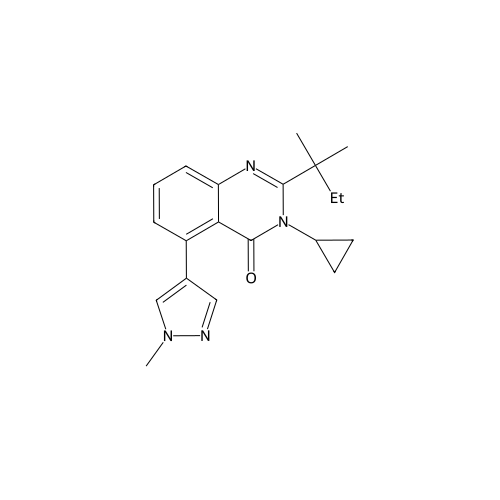 CCC(C)(C)c1nc2cccc(-c3cnn(C)c3)c2c(=O)n1C1CC1